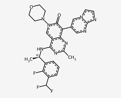 Cc1nc(N[C@H](C)c2cccc(C(F)F)c2F)c2cn(N3CCOCC3)c(=O)c(-c3cnc4nccn4c3)c2n1